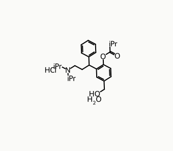 CC(C)C(=O)Oc1ccc(CO)cc1C(CCN(C(C)C)C(C)C)c1ccccc1.Cl.O